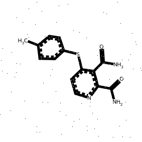 Cc1ccc(Sc2ccnc(C(N)=O)c2C(N)=O)cc1